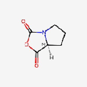 O=C1OC(=O)N2CCC[C@@H]12